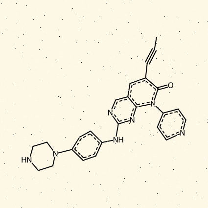 CC#Cc1cc2cnc(Nc3ccc(N4CCNCC4)cc3)nc2n(-c2ccncc2)c1=O